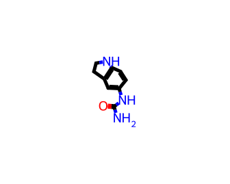 NC(=O)Nc1ccc2c(c1)CCN2